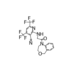 N#Cc1c(C(F)(F)F)cc(C(F)(F)F)nc1NCC(=O)N1CCOCc2ccccc21